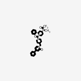 CN(C(=O)C(F)(F)F)[C@@H]1CCN(C(=O)N2CCC(Cn3ccc(-c4ccccc4)cc3=O)CC2)[C@H](c2ccccc2)C1